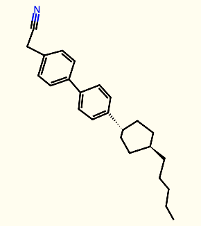 CCCCC[C@H]1CC[C@H](c2ccc(-c3ccc(CC#N)cc3)cc2)CC1